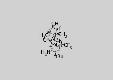 CCCCC(CN)Cc1c(C(F)(F)F)nc2n(-c3c(C)cc(C)cc3C)c(Cl)cn12